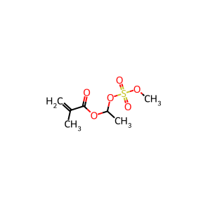 C=C(C)C(=O)OC(C)OS(=O)(=O)OC